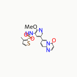 COc1ncc(-c2ccc3nccc(=O)n3c2)cc1NS(=O)(=O)c1sccc1C